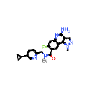 CCN(Cc1ccc(C2CC2)cn1)C(=O)c1cc2c(cc1F)nc(N)c1cnn(C)c12